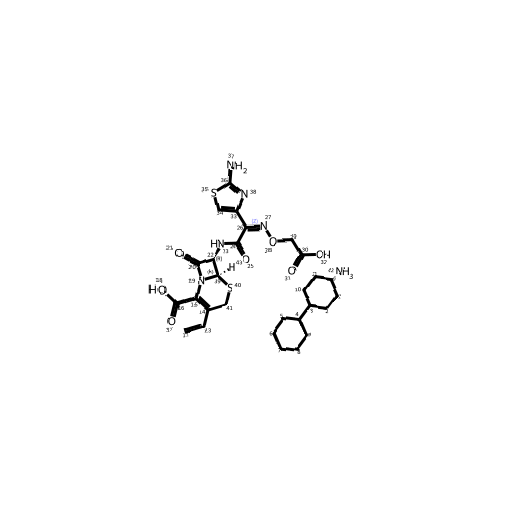 C1CCC(C2CCCCC2)CC1.C=CC1=C(C(=O)O)N2C(=O)[C@@H](NC(=O)/C(=N\OCC(=O)O)c3csc(N)n3)[C@H]2SC1.N